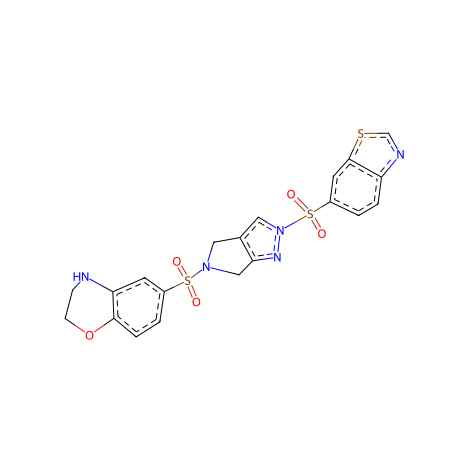 O=S(=O)(c1ccc2c(c1)NCCO2)N1Cc2cn(S(=O)(=O)c3ccc4ncsc4c3)nc2C1